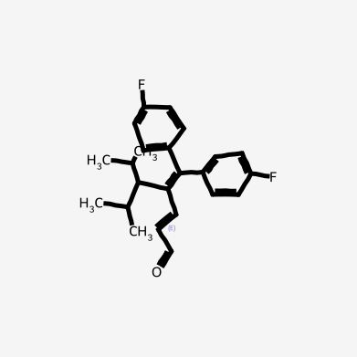 CC(C)C(C(/C=C/C=O)=C(c1ccc(F)cc1)c1ccc(F)cc1)C(C)C